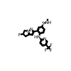 CNSc1ccc(Nc2ccc(C(F)(F)F)cn2)c(-c2cc3n(n2)CC(F)C3)c1